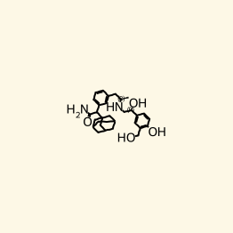 C[C@H](Cc1cccc(C(C(N)=O)C23CC4CC(CC(C4)C2)C3)c1)NC[C@H](O)c1ccc(O)c(CO)c1